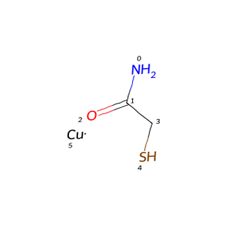 NC(=O)CS.[Cu]